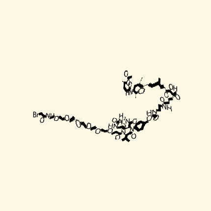 CC(=O)O[C@@H](C)/C=C\C(=O)N[C@@H]1C[C@H](C)[C@H](C/C=C(C)/C=C/[C@H]2O[C@H](CC(=O)NCCNC(=O)OCc3ccc(N(C(=O)[C@@H](NC(=O)CCOCCOCCOCCOCCOCCOCCNC(=O)CBr)C(C)C)[C@@H](CCCNC(N)=O)C(N)=O)cc3)C[C@@]3(CO3)[C@@H]2O)O[C@@H]1C